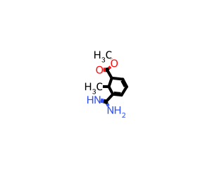 COC(=O)C1C=CC=C(C(=N)N)C1C